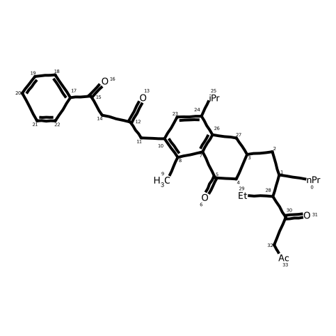 CCCC(CC1CC(=O)c2c(C)c(CC(=O)CC(=O)c3ccccc3)cc(C(C)C)c2C1)C(CC)C(=O)CC(C)=O